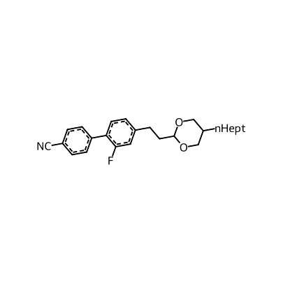 CCCCCCCC1COC(CCc2ccc(-c3ccc(C#N)cc3)c(F)c2)OC1